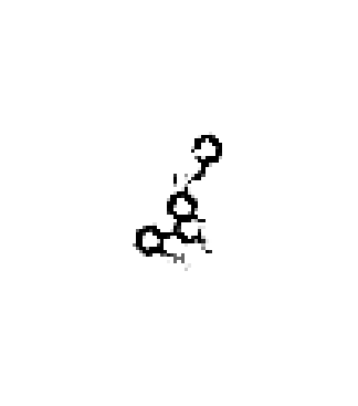 Cc1ccccc1-c1cc(=O)oc2cc(NCc3ccccn3)ccc12